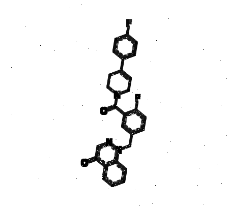 O=C(c1cc(Cn2ncc(=O)c3ccccc32)ccc1F)N1CC=C(c2ccc(F)cc2)CC1